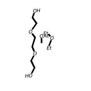 CCOCC.COC(C)=O.OCCOCCOCCO